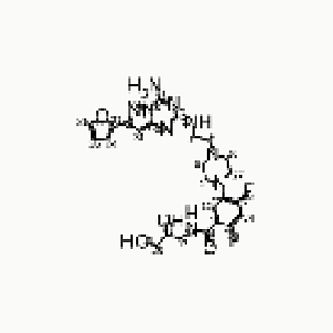 Nc1nc(NCCN2CCN(c3cc(C(=O)NCC(O)CO)c(F)cc3F)CC2)nc2cc(-c3ccco3)nn12